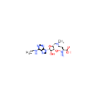 CCNc1ncnc2c1ncn2[C@@H]1O[C@H](CN(C)CC[C@H](N)C(=O)O)[C@H](O)[C@H]1O